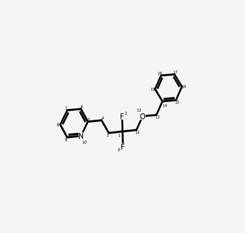 FC(F)(CCc1ccccn1)COCc1ccccc1